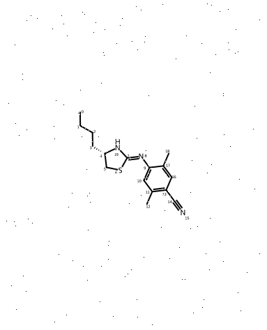 CCCC[C@H]1CSC(=Nc2cc(C)c(C#N)cc2C)N1